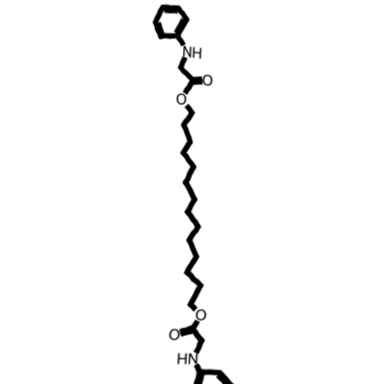 O=C(CNc1ccccc1)OCCCCCCCCCCCCCCOC(=O)CNc1ccccc1